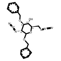 [N-]=[N+]=NC[C@H]1OC(OCc2ccccc2)[C@H](N=[N+]=[N-])[C@@H](OCc2ccccc2)[C@@H]1O